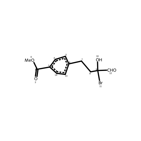 COC(=O)c1ccc(CCC(O)(Br)C=O)cc1